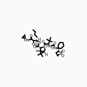 CCCC[C@H](NC(=O)[C@@H]1[C@@H]2[C@H](CN1C(=O)[C@@H](NC(=O)NC1([C@@H]3CCS3(=O)=O)CCCCC1)C(C)(C)C)C2(C)C)C(O)C(=O)NC1CC1